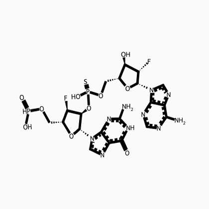 Nc1nc2c(ncn2[C@@H]2O[C@H](CO[PH](=O)O)[C@@H](F)[C@H]2OP(O)(=S)OC[C@H]2O[C@@H](n3cnc4c(N)ncnc43)[C@@H](F)[C@@H]2O)c(=O)[nH]1